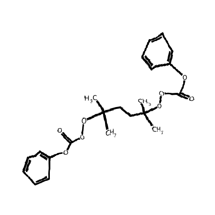 CC(C)(CCC(C)(C)OOC(=O)Oc1ccccc1)OOC(=O)Oc1ccccc1